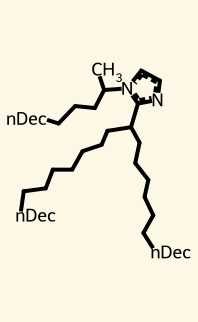 CCCCCCCCCCCCCCCCCC(CCCCCCCCCCCCCCCC)c1nccn1C(C)CCCCCCCCCCCCC